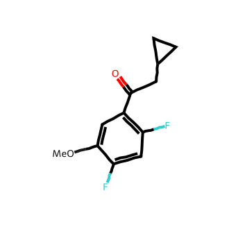 COc1cc(C(=O)CC2CC2)c(F)cc1F